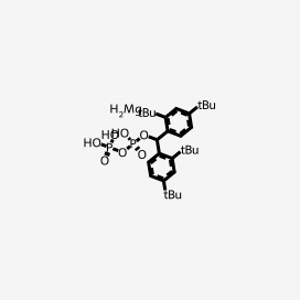 CC(C)(C)c1ccc(C(OP(=O)(O)OP(=O)(O)O)c2ccc(C(C)(C)C)cc2C(C)(C)C)c(C(C)(C)C)c1.[MgH2]